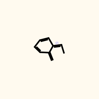 C=c1cccc/c1=C/C